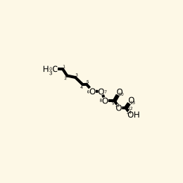 CCCCCCOOOC(=O)OC(=O)O